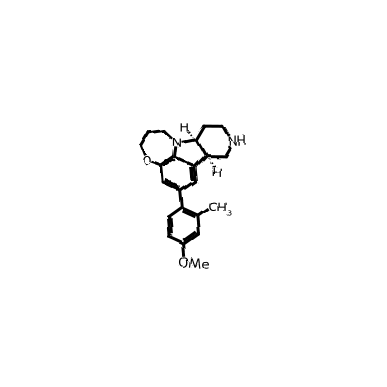 COc1ccc(-c2cc3c4c(c2)[C@@H]2CNCC[C@@H]2N4CCCO3)c(C)c1